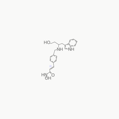 O=C(/C=C/c1ccc(CNC(CCO)Cc2c[nH]c3ccccc23)cc1)NO